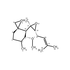 CO[C@@H]1C(C)CC[C@]2(CO2)[C@H]1[C@@]1(C)O[C@@H]1CC=C(C)C